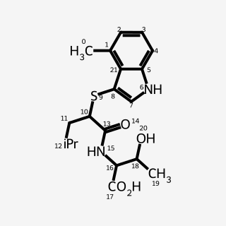 Cc1cccc2[nH]cc(SC(CC(C)C)C(=O)NC(C(=O)O)C(C)O)c12